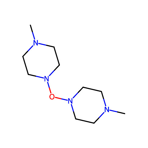 CN1CCN(ON2CCN(C)CC2)CC1